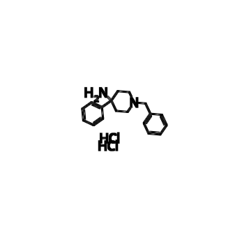 Cl.Cl.NC1(c2ccccc2)CCN(Cc2ccccc2)CC1